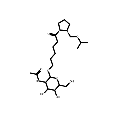 CC(=O)NC1C(OCCCCCC(=O)N2CCC[C@H]2COC(C)C)OC(CO)C(O)C1O